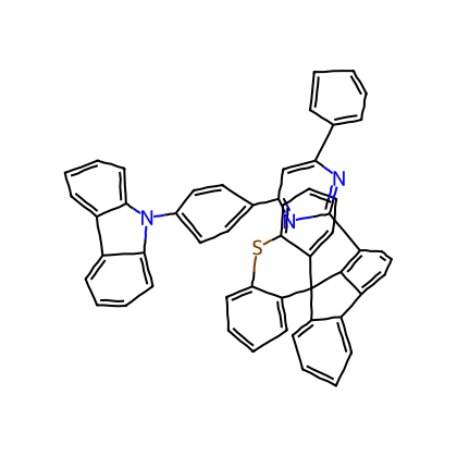 c1ccc(-c2cc(-c3ccc(-n4c5ccccc5c5ccccc54)cc3)nc(-c3cccc4c3C3(c5ccccc5Sc5ccccc53)c3ccccc3-4)n2)cc1